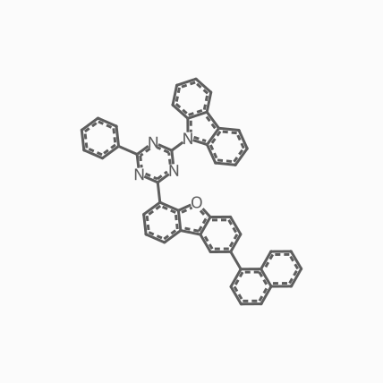 c1ccc(-c2nc(-c3cccc4c3oc3ccc(-c5cccc6ccccc56)cc34)nc(-n3c4ccccc4c4ccccc43)n2)cc1